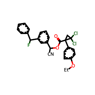 CCOc1ccc(C2(C(=O)OC(C#N)c3cccc(C(F)c4ccccc4)c3)CC2(Cl)Cl)cc1